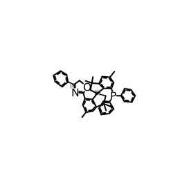 Cc1cc(C2=N[C@@H](c3ccccc3)CO2)c2c(c1)C(C)(C)C[C@]21CC(C)(C)c2cc(C)cc(P(c3ccccc3)c3ccccc3)c21